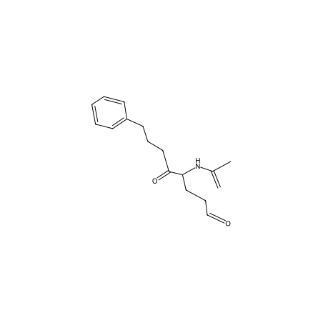 C=C(C)NC(CCC=O)C(=O)CCCc1ccccc1